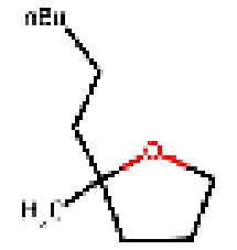 CCCCCCC1(C)CCCO1